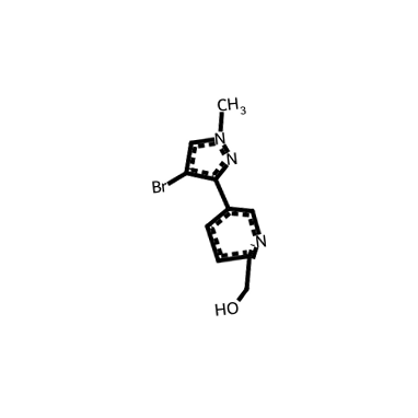 Cn1cc(Br)c(-c2ccc(CO)nc2)n1